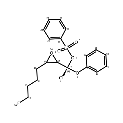 O=S(=O)(O[C@](Cl)(Oc1ccccc1)C1OC1CCCCF)c1ccccc1